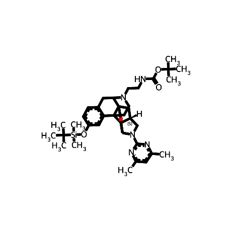 Cc1cc(C)nc(N2C[C@H]3CC45CCC2C3C42CCN(CCNC(=O)OC(C)(C)C)C5Cc3ccc(O[Si](C)(C)C(C)(C)C)cc32)n1